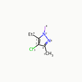 CCc1c(Cl)c(C)nn1I